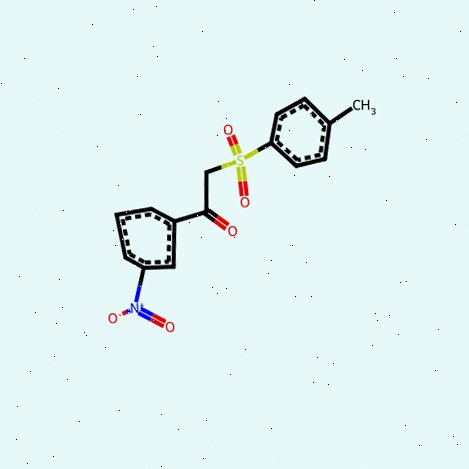 Cc1ccc(S(=O)(=O)CC(=O)c2cccc([N+](=O)[O-])c2)cc1